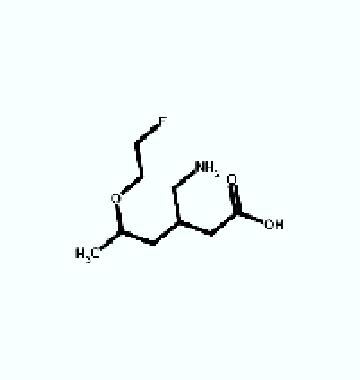 CC(CC(CN)CC(=O)O)OCCF